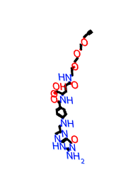 C#CCOCCOCCOCCNC(=O)CCC(NC(=O)c1ccc(NCc2cnc3[nH]c(N)nc(=O)c3n2)cc1)C(=O)O